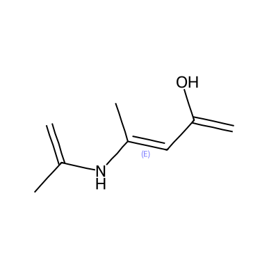 C=C(O)/C=C(\C)NC(=C)C